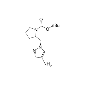 CCCCOC(=O)N1CCCC1Cn1cc(N)cn1